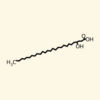 CCCCCCCCCCCCCCCCCCCCCCCCC(O)CCC(=O)O